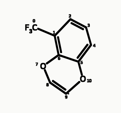 FC(F)(F)c1cccc2c1OC=[C]O2